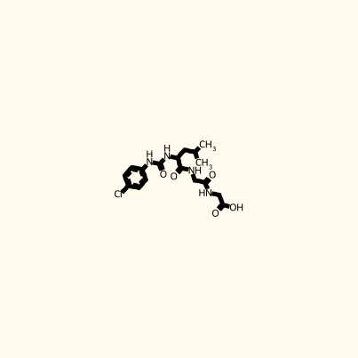 CC(C)CC(NC(=O)Nc1ccc(Cl)cc1)C(=O)NCC(=O)NCC(=O)O